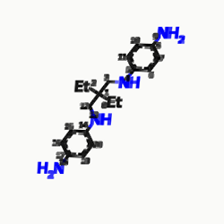 CCC(CC)(CNc1ccc(N)cc1)CNc1ccc(N)cc1